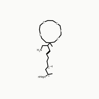 CCCCCCC[C@H](C)C[C@@H](I)CCC=CC(CN)C1(C)CCCCCCCCCCCCCC1